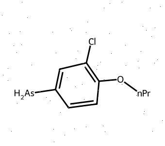 CCCOc1ccc([AsH2])cc1Cl